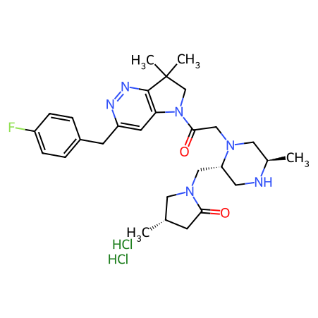 C[C@H]1CC(=O)N(C[C@H]2CN[C@H](C)CN2CC(=O)N2CC(C)(C)c3nnc(Cc4ccc(F)cc4)cc32)C1.Cl.Cl